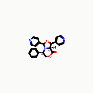 O=C1OC[C@@H](c2ccccc2)N2C(c3ccncc3)OC(c3ccncc3)[C@H]12